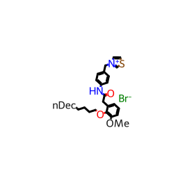 CCCCCCCCCCCCCCOc1c(CC(=O)Nc2ccc(C[n+]3ccsc3)cc2)cccc1OC.[Br-]